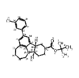 CC(C)(C)OC(=O)N1CC[C@H]2[C@@H](C1)c1cc(-c3cccc(Cl)c3)cc3c1N2CCCC3